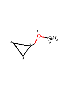 [SiH3]OC1CC1